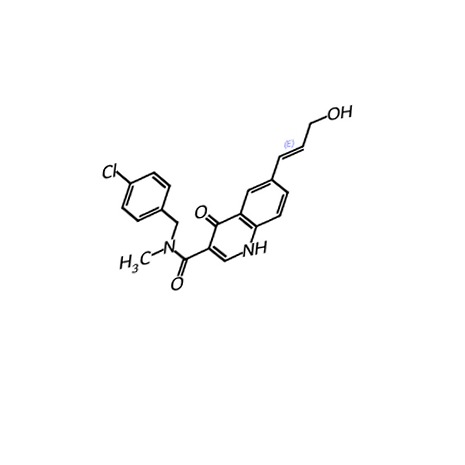 CN(Cc1ccc(Cl)cc1)C(=O)c1c[nH]c2ccc(/C=C/CO)cc2c1=O